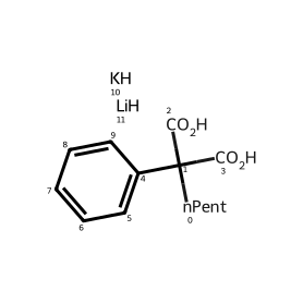 CCCCCC(C(=O)O)(C(=O)O)c1ccccc1.[KH].[LiH]